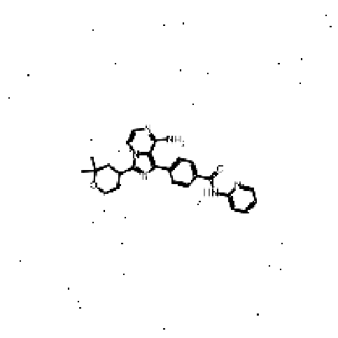 CC1(C)CC(c2nc(-c3ccc(C(=O)Nc4ccccn4)cc3)c3c(N)nccn23)CCO1